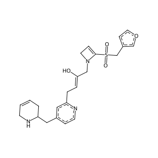 O=S(=O)(Cc1ccoc1)C1=CCN1CC(O)=CCc1cc(CC2CC=CCN2)ccn1